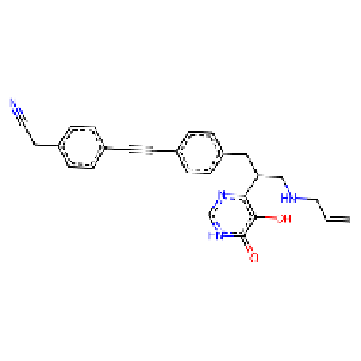 C=CCNCC(Cc1ccc(C#Cc2ccc(CC#N)cc2)cc1)c1nc[nH]c(=O)c1O